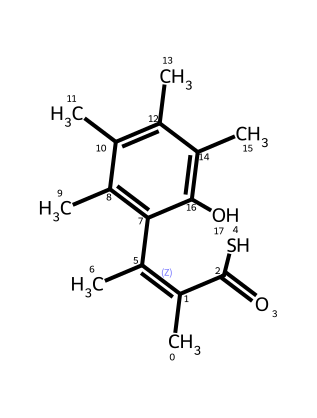 C/C(C(=O)S)=C(\C)c1c(C)c(C)c(C)c(C)c1O